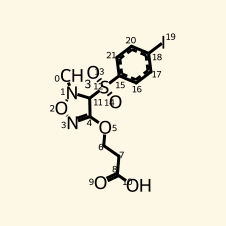 CN1ON=C(OCCC(=O)O)C1S(=O)(=O)c1ccc(I)cc1